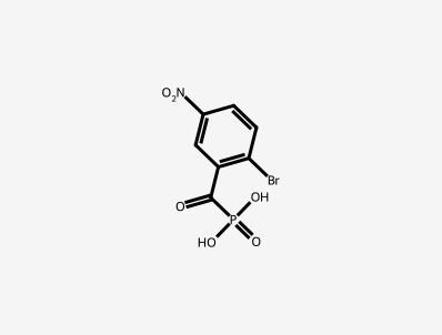 O=C(c1cc([N+](=O)[O-])ccc1Br)P(=O)(O)O